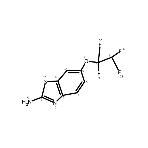 Nc1nc2ccc(OC(F)(F)C(F)F)cc2s1